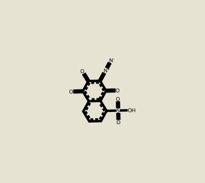 [N-]=[N+]=c1c(=O)c(=O)c2cccc(S(=O)(=O)O)c2c1=O